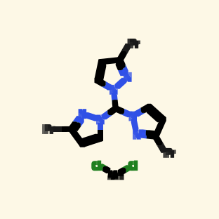 CC(C)c1ccn(C(n2ccc(C(C)C)n2)n2ccc(C(C)C)n2)n1.[Cl][Mn][Cl]